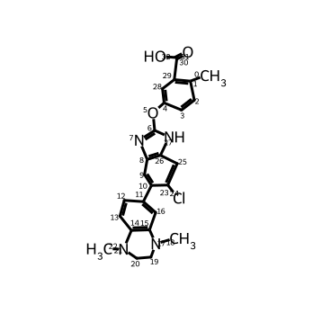 Cc1ccc(Oc2nc3cc(-c4ccc5c(c4)N(C)CCN5C)c(Cl)cc3[nH]2)cc1C(=O)O